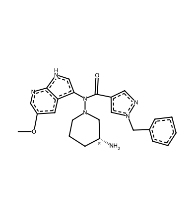 COc1cnc2[nH]cc(N(C(=O)c3cnn(Cc4ccccc4)c3)N3CCC[C@@H](N)C3)c2c1